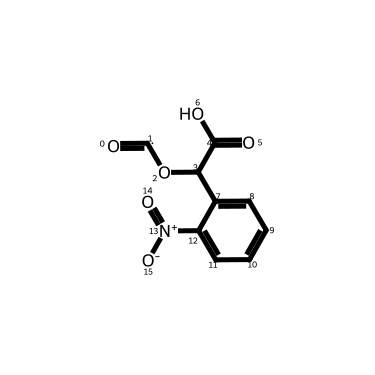 O=[C]OC(C(=O)O)c1ccccc1[N+](=O)[O-]